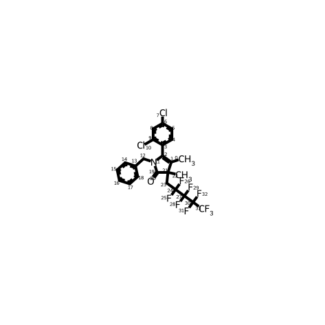 CC1=C(c2ccc(Cl)cc2Cl)N(Cc2ccccc2)C(=O)C1(C)CC(F)(F)C(F)(F)C(F)(F)C(F)(F)F